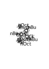 CCCCCCCC[Si](C)(C)CCCc1cc([S+](c2ccc(OCCCC)c(CCC[Si](C)(C)CCCCCCCC)c2)c2ccc(OCCCC)c(CCC[Si](C)(C)CCCCCCCC)c2)ccc1OCCCC.[Cl-]